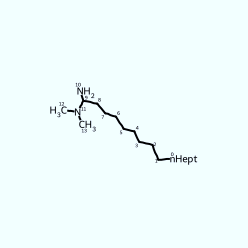 CCCCCCCCCCCCCCCC(N)N(C)C